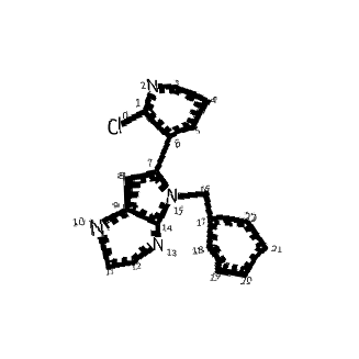 Clc1ncccc1-c1cc2nccnc2n1Cc1ccccc1